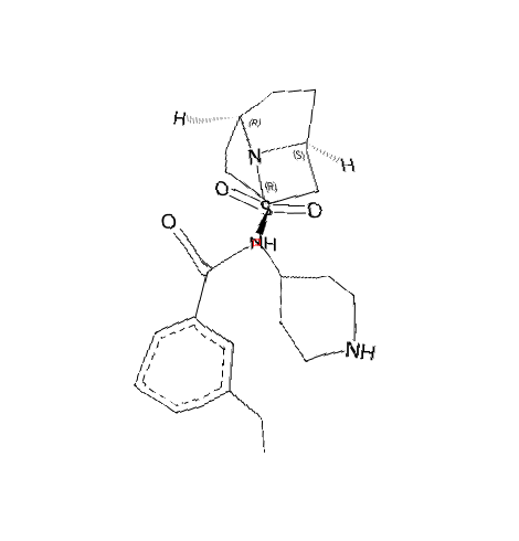 CCc1cccc(C(=O)N[C@H]2C[C@H]3CC[C@@H](C2)N3S(=O)(=O)CC2CCNCC2)c1